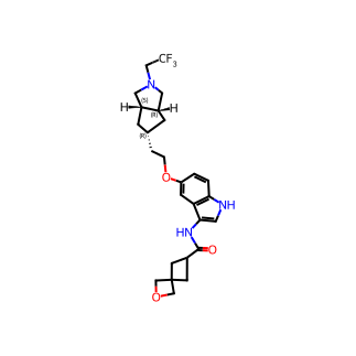 O=C(Nc1c[nH]c2ccc(OCC[C@@H]3C[C@@H]4CN(CC(F)(F)F)C[C@@H]4C3)cc12)C1CC2(COC2)C1